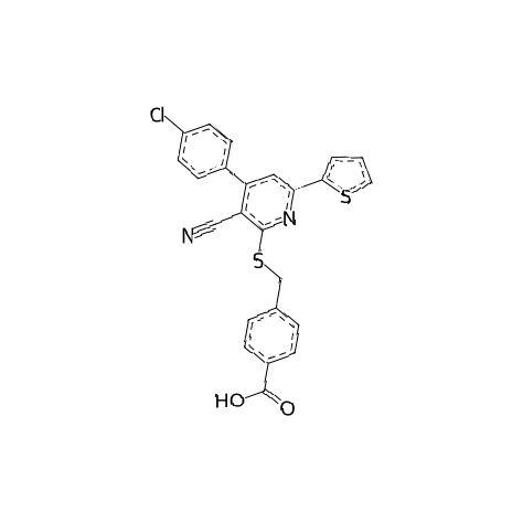 N#Cc1c(-c2ccc(Cl)cc2)cc(-c2cccs2)nc1SCc1ccc(C(=O)O)cc1